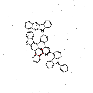 c1ccc(-c2nc(-c3ccc(-n4c5ccccc5c5cc6ccccc6cc54)cc3-c3c4ccccc4cc4sc5ccccc5c34)nc(-c3cccc4c3c3ccccc3n4-c3ccccc3)n2)cc1